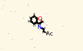 CC(=O)CC=Nc1coc2ccccc12